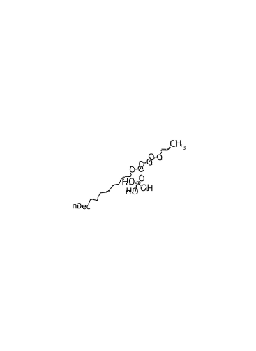 CC=COOOOOOCCCCCCCCCCCCCCCCCC.O=P(O)(O)O